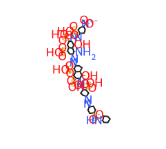 Nc1c(N=Nc2ccc3c(O)c(N=Nc4ccc(N=Nc5ccc(S(=O)(=O)Nc6ccccc6)cc5)cc4S(=O)(=O)O)c(S(=O)(=O)O)cc3c2S(=O)(=O)O)cc(S(=O)(=O)O)c2cc(S(=O)(=O)O)c(N=Nc3ccc([N+](=O)[O-])cc3S(=O)(=O)O)c(O)c12